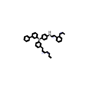 C=C/C=C\C=C/Cc1cccc(N(c2ccc(N/C=C/c3ccccc3/C=C\C)cc2)c2cccc(-c3ccccc3)c2)c1